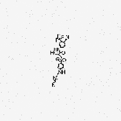 C[C@@](O)(CS(=O)(=O)c1ccc(NCCN=[N+]=[N-])cc1)C(=O)Nc1ccc(C#N)c(C(F)(F)F)c1